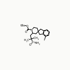 CC(C)(C)OC(=O)N1CCC2(Cc3cccc(F)c3C2)CC1CC(C)(C)[S@+](N)[O-]